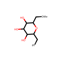 COCC1OC(CC(C)C)C(O)C(O)C1O